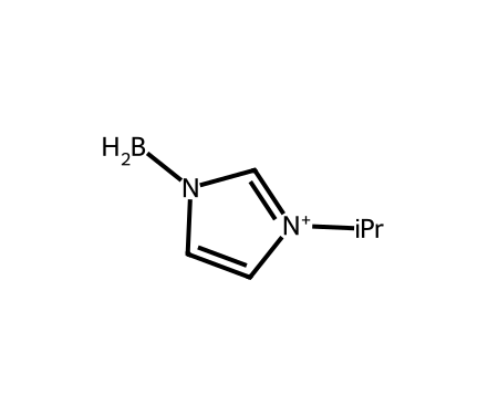 Bn1cc[n+](C(C)C)c1